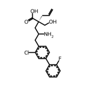 C=CC[C@](CO)(CC(N)Cc1ccc(-c2ccccc2F)cc1Cl)C(=O)O